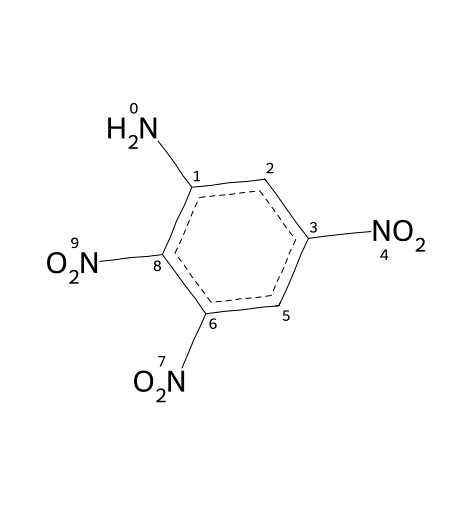 Nc1cc([N+](=O)[O-])cc([N+](=O)[O-])c1[N+](=O)[O-]